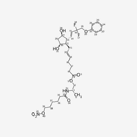 CC(COC(=O)CCCC=CC[C@@H]1[C@@H](C=CC(F)(F)COc2ccccc2)[C@H](O)C[C@@H]1O)NC(=O)CCCCCO[N+](=O)[O-]